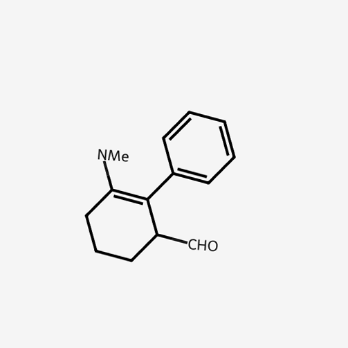 CNC1=C(c2ccccc2)C(C=O)CCC1